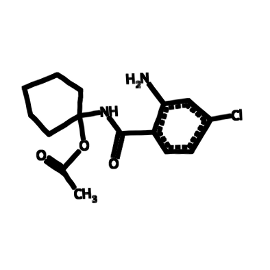 CC(=O)OC1(NC(=O)c2ccc(Cl)cc2N)CCCCC1